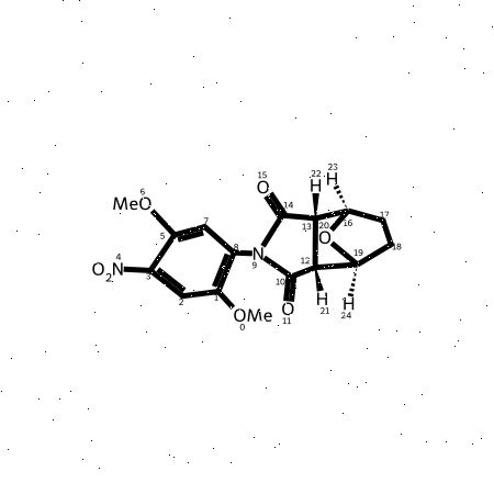 COc1cc([N+](=O)[O-])c(OC)cc1N1C(=O)[C@@H]2[C@H](C1=O)[C@H]1CC[C@@H]2O1